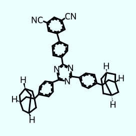 N#Cc1cc(C#N)cc(-c2ccc(-c3nc(-c4ccc(C56C[C@H]7C[C@@H](C5)C[C@@H](C6)C7)cc4)nc(-c4ccc(C56C[C@H]7C[C@@H](C5)C[C@@H](C6)C7)cc4)n3)cc2)c1